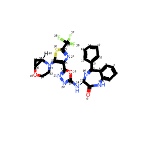 O=C1Nc2ccccc2C(c2ccccc2)=N[C@H]1Nc1nnc(-c2nc(C(F)(F)F)sc2N2CCOC3C[C@H]32)o1